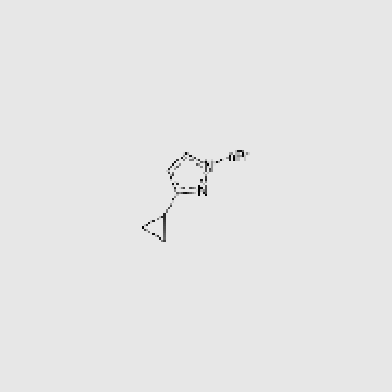 CCCn1ccc(C2CC2)n1